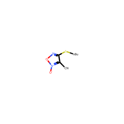 CCCCSc1no[n+]([O-])c1C#N